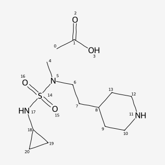 CC(=O)O.CN(CCC1CCNCC1)S(=O)(=O)NC1CC1